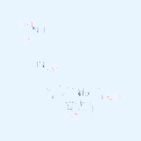 C[C@H](CCC(=O)NCCCC(=O)NO)[C@H]1CC[C@H]2[C@@H]3[C@@H](O)C[C@@H]4C[C@H](O)CC[C@]4(C)[C@H]3CC[C@]12C